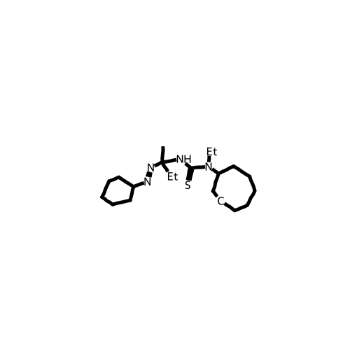 CCN(C(=S)NC(C)(CC)N=NC1CCCCC1)C1CCCCCCC1